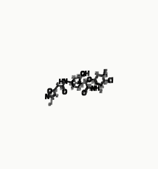 Cc1cc(CC(=O)NC23CCC(C(Oc4ccc(Cl)c(F)c4)C(N)=O)(CC2)C(O)C3)on1